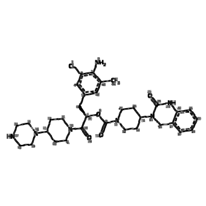 Nc1c(Cl)cc(C[C@@H](OC(=O)N2CCC(N3Cc4ccccc4NC3=O)CC2)C(=O)N2CCC(N3CCNCC3)CC2)cc1C(F)(F)F